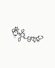 C#C/C=C\C(=C/C)N1C(=O)S/C(=C\c2ccc(Sc3nc4ccccc4[nH]3)o2)C1=O